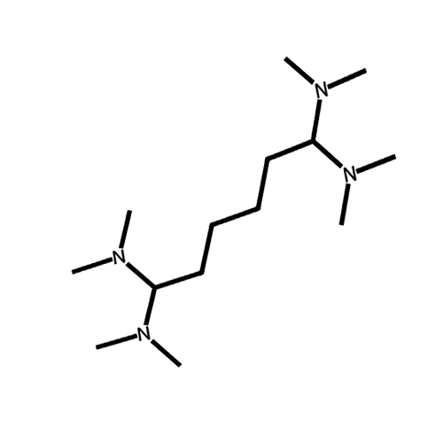 CN(C)C(CCCCC(N(C)C)N(C)C)N(C)C